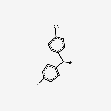 CC(C)C(c1ccc(F)cc1)c1ccc(C#N)cc1